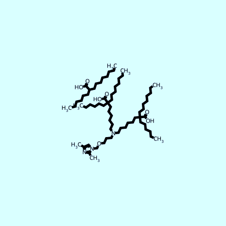 CCCCCCCCC(CCCCCC)(CCCCCCN(CCCCCCC(CCCCCC)(CCCCCCCC)C(=O)O)CCCOCn1cc(C)nc1C)C(=O)O.CCCCCCCCC(CCCCCC)C(=O)O